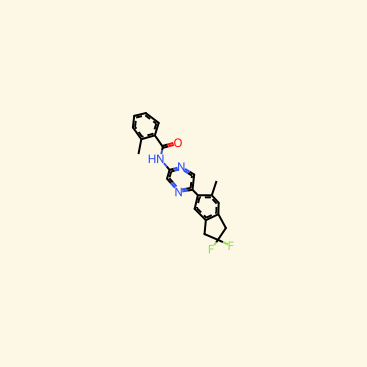 Cc1ccccc1C(=O)Nc1cnc(-c2cc3c(cc2C)CC(F)(F)C3)cn1